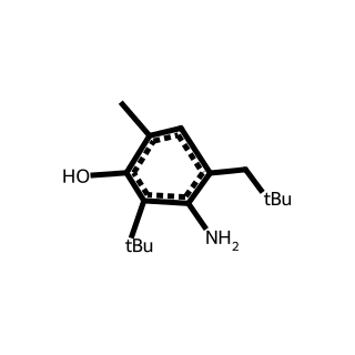 Cc1cc(CC(C)(C)C)c(N)c(C(C)(C)C)c1O